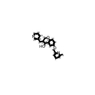 Cc1cccc(COc2ccc3c(c2)C(O)C(Cc2cccnc2)CO3)n1